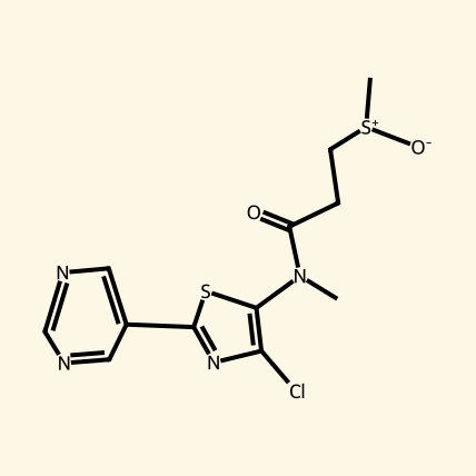 CN(C(=O)CC[S+](C)[O-])c1sc(-c2cncnc2)nc1Cl